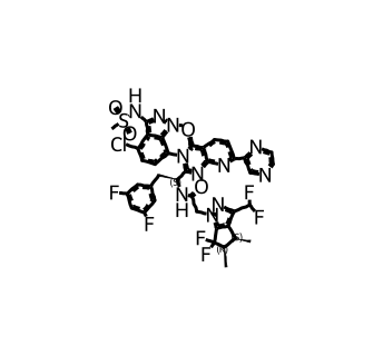 C[C@@H]1c2c(C(F)F)nn(CC(=O)N[C@@H](Cc3cc(F)cc(F)c3)c3nc4nc(-c5cnccn5)ccc4c(=O)n3-c3ccc(Cl)c4c(NS(C)(=O)=O)nn(C)c34)c2C(F)(F)[C@@H]1C